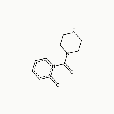 O=C(N1CCNCC1)n1ccccc1=O